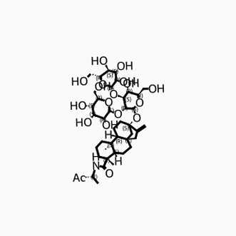 C=C1C[C@@]23CC[C@H]4[C@@](C)(CCC[C@@]4(C)C(=O)N[C@H](C)C(C)=O)[C@@H]2CC[C@]1(O[C@@H]1O[C@H](CO)[C@@H](O)[C@H](O[C@@H]2O[C@H](CO)[C@@H](O)[C@H](O)[C@H]2O)[C@H]1O[C@@H]1O[C@H](CO)[C@@H](O)[C@H](O)[C@H]1O)C3